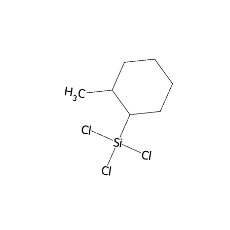 CC1CCCCC1[Si](Cl)(Cl)Cl